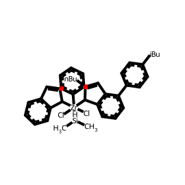 CCCCC1=Cc2c(-c3ccc(C(C)CC)cc3)cccc2[CH]1[Zr]([Cl])([Cl])([c]1ccccc1)([CH]1C=Cc2ccccc21)[SiH](C)C